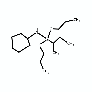 CCCO[Si](NC1CCCCC1)(OCCC)C(C)CC